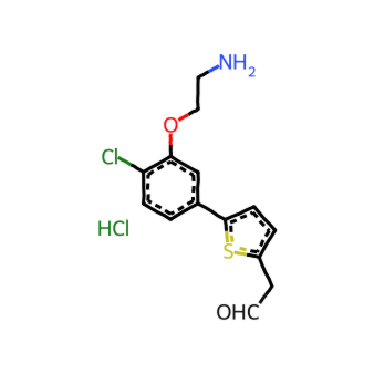 Cl.NCCOc1cc(-c2ccc(CC=O)s2)ccc1Cl